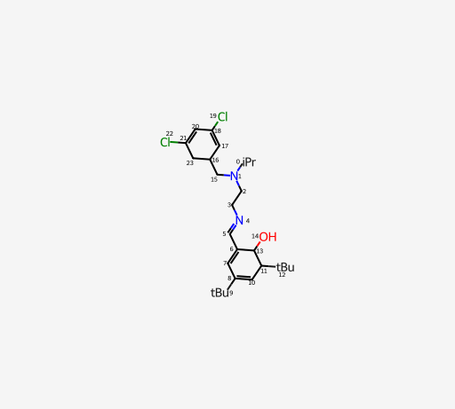 CC(C)N(CC/N=C/C1=CC(C(C)(C)C)=CC(C(C)(C)C)C1O)CC1C=C(Cl)C=C(Cl)C1